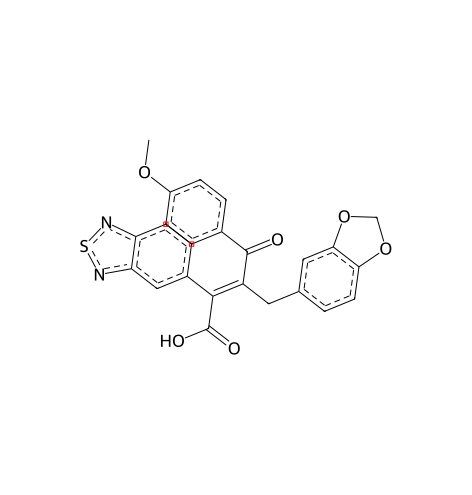 COc1ccc(C(=O)/C(Cc2ccc3c(c2)OCO3)=C(/C(=O)O)c2ccc3nsnc3c2)cc1